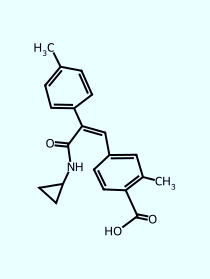 Cc1ccc(/C(=C/c2ccc(C(=O)O)c(C)c2)C(=O)NC2CC2)cc1